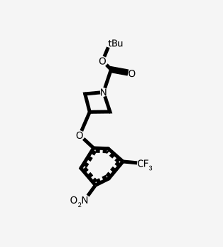 CC(C)(C)OC(=O)N1CC(Oc2cc([N+](=O)[O-])cc(C(F)(F)F)c2)C1